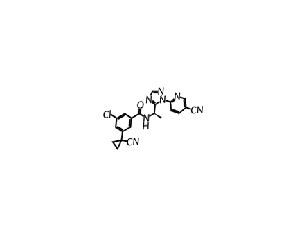 C[C@@H](NC(=O)c1cc(Cl)cc(C2(C#N)CC2)c1)c1ncnn1-c1ccc(C#N)cn1